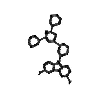 Fc1ccc2c(c1)c1cc(F)ccc1n2-c1cccc(-c2cc(-c3ccccc3)nc(-c3ccccc3)c2)c1